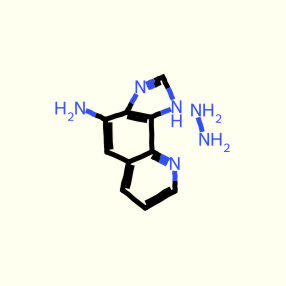 NN.Nc1cc2cccnc2c2[nH]cnc12